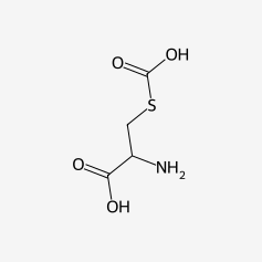 NC(CSC(=O)O)C(=O)O